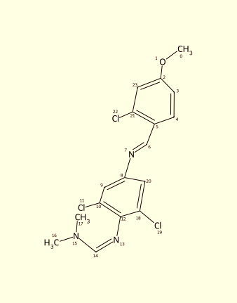 COc1ccc(/C=N/c2cc(Cl)c(/N=C\N(C)C)c(Cl)c2)c(Cl)c1